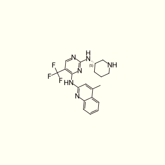 Cc1cc(Nc2nc(N[C@H]3CCCNC3)ncc2C(F)(F)F)nc2ccccc12